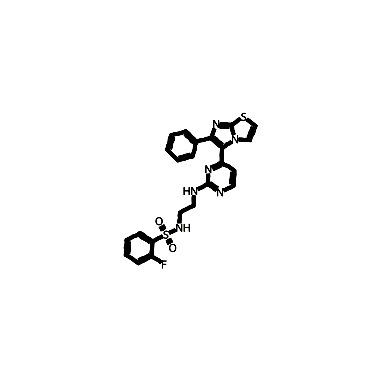 O=S(=O)(NCCNc1nccc(-c2c(-c3ccccc3)nc3sccn23)n1)c1ccccc1F